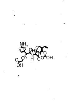 C=CC1=C(OC(=O)O)N2C(=O)C(NC(=O)C(=NOCC(=O)O)c3csc(N)n3)[C@@H]2SC1